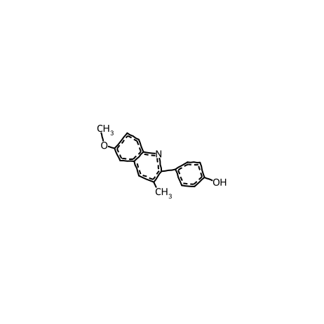 COc1ccc2nc(-c3ccc(O)cc3)c(C)cc2c1